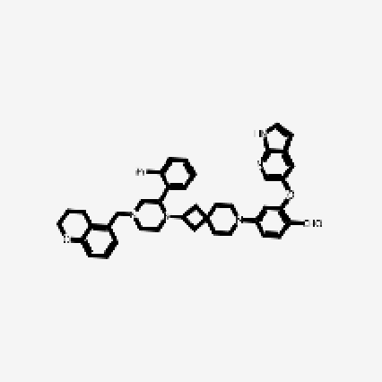 CC(C)c1ccccc1C1CN(Cc2cccc3c2CCCO3)CCN1C1CC2(CCN(c3ccc(C=O)c(Oc4cnc5[nH]ccc5c4)c3)CC2)C1